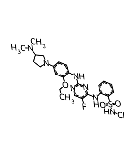 CCOc1cc(N2CCC(N(C)C)C2)ccc1Nc1ncc(F)c(Nc2ccccc2S(=O)(=O)NC)n1